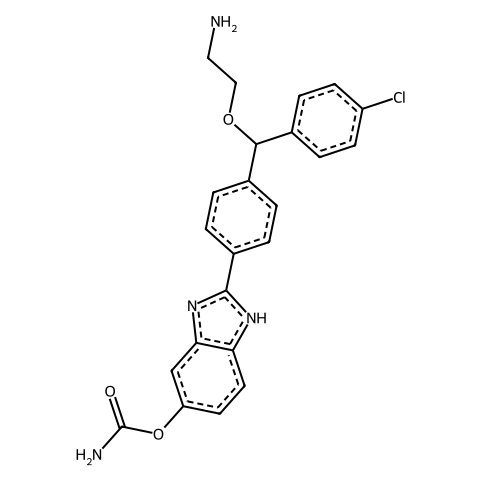 NCCOC(c1ccc(Cl)cc1)c1ccc(-c2nc3cc(OC(N)=O)ccc3[nH]2)cc1